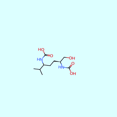 CC(C)C(CC[C@@H](CO)NC(=O)O)NC(=O)O